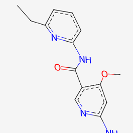 CCc1cccc(NC(=O)c2cnc(N)cc2OC)n1